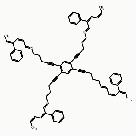 C\C=C/C=C(\C=N\CCCC#Cc1cc(C#CCCC/N=C/C=C\C(=C/C)c2ccccc2)c(C#CCCC/N=C/C(=C\C=C/C)c2ccccc2)cc1C#CCCC/N=C/C=C\C(=C/C)c1ccccc1)c1ccccc1